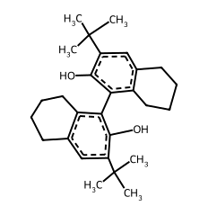 CC(C)(C)c1cc2c(c(-c3c(O)c(C(C)(C)C)cc4c3CCCC4)c1O)CCCC2